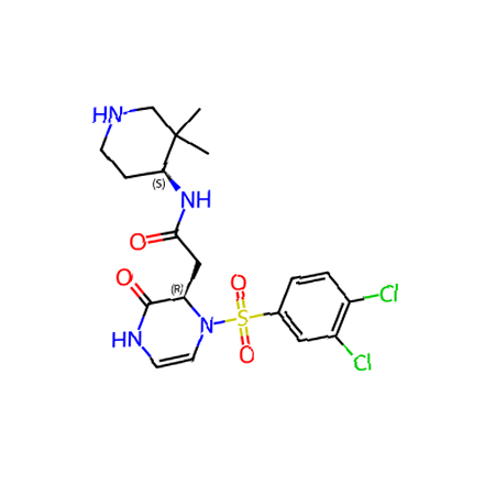 CC1(C)CNCC[C@@H]1NC(=O)C[C@@H]1C(=O)NC=CN1S(=O)(=O)c1ccc(Cl)c(Cl)c1